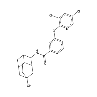 O=C(NC1C2CC3CC1CC(O)(C3)C2)c1cccc(Oc2ncc(Cl)cc2Cl)c1